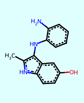 Cc1[nH]c2ccc(O)cc2c1Nc1ccccc1N